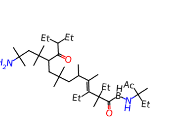 CC/C(=C(/C)C(C)CC(C)(C)CC(C(=O)C(CC)CC)C(C)(C)CC(C)(C)N)C(C)(CC)C(=O)BNC(C)(CC)C(C)=O